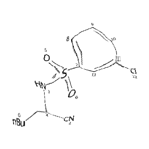 CCCCC(C#N)NS(=O)(=O)c1cccc(Cl)c1